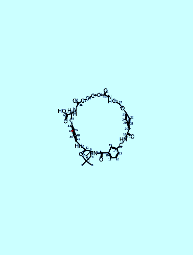 CC(C)(C)C[C@@]1(C)NC(=O)c2cccc(c2)CNC(=O)c2ccc(cc2)OCCNC(=O)CCCCC(=O)N[C@H](C(=O)O)Cc2ccc(cc2)NC1=O